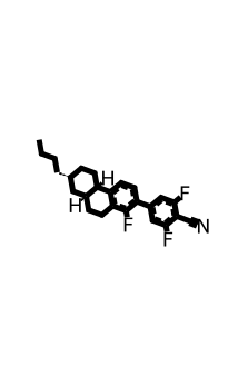 CCCC[C@@H]1CC[C@@H]2c3ccc(-c4cc(F)c(C#N)c(F)c4)c(F)c3CC[C@H]2C1